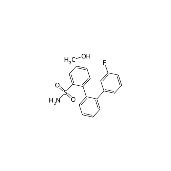 CO.NS(=O)(=O)c1ccccc1-c1ccccc1-c1cccc(F)c1